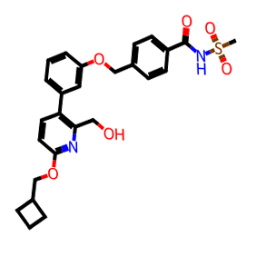 CS(=O)(=O)NC(=O)c1ccc(COc2cccc(-c3ccc(OCC4CCC4)nc3CO)c2)cc1